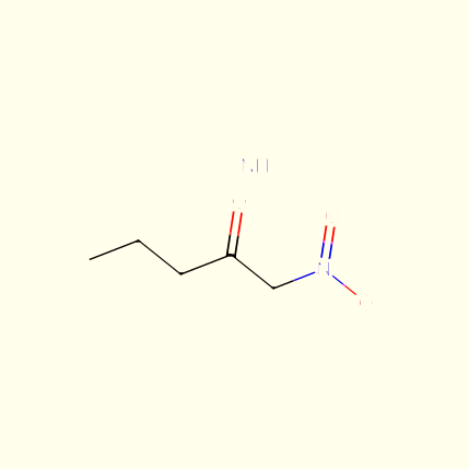 CCCC(=O)C[N+](=O)[O-].N